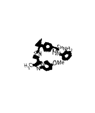 COc1ccc2nc(C)c(-c3csc(C4(c5ccc(C(=O)Nc6ccccc6N)cc5)CC4)n3)n2c1